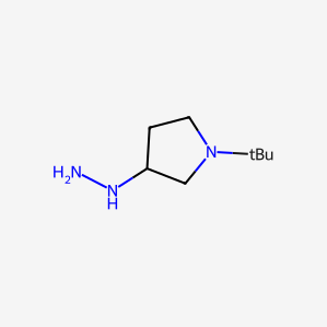 CC(C)(C)N1CCC(NN)C1